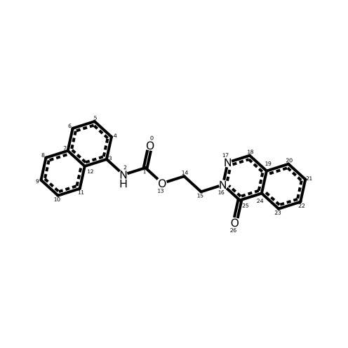 O=C(Nc1cccc2ccccc12)OCCn1ncc2ccccc2c1=O